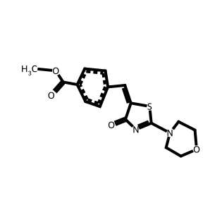 COC(=O)c1ccc(C=C2SC(N3CCOCC3)=NC2=O)cc1